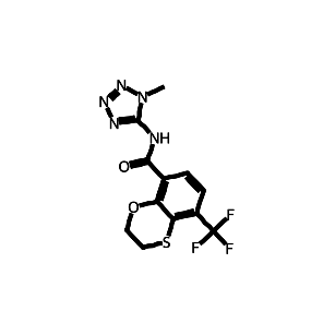 Cn1nnnc1NC(=O)c1ccc(C(F)(F)F)c2c1OCCS2